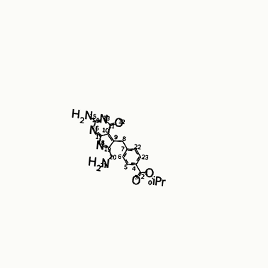 CC(C)OC(=O)c1ccc(CC2=C3C(=O)N=C(N)N=C3N=C2CN)cc1